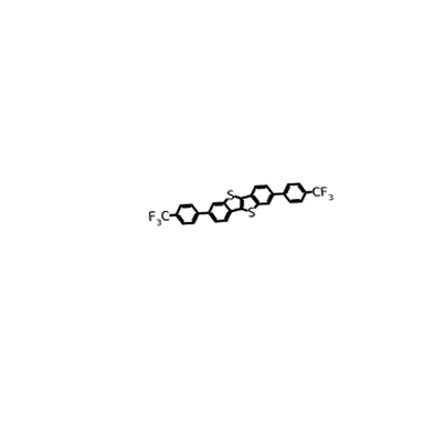 FC(F)(F)c1ccc(-c2ccc3c(c2)sc2c4ccc(-c5ccc(C(F)(F)F)cc5)cc4sc32)cc1